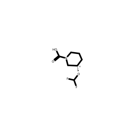 O=C(O)N1CCC[C@H](OC(F)F)C1